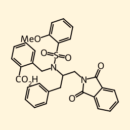 COc1ccccc1S(=O)(=O)N(Cc1ccccc1C(=O)O)C(Cc1ccccc1)CN1C(=O)c2ccccc2C1=O